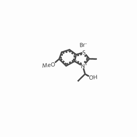 COc1ccc2sc(C)[n+](C(C)O)c2c1.[Br-]